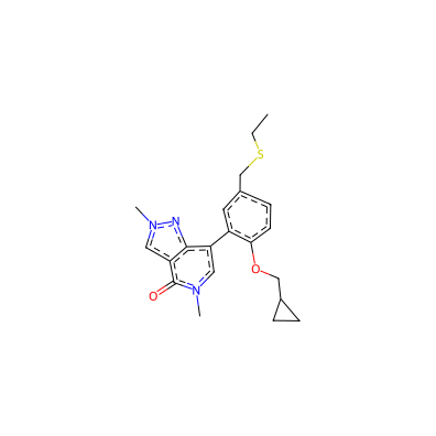 CCSCc1ccc(OCC2CC2)c(-c2cn(C)c(=O)c3cn(C)nc23)c1